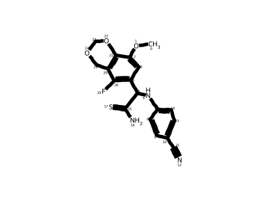 COc1cc(C(Nc2ccc(C#N)cc2)C(N)=S)c(F)c2c1OCOC2